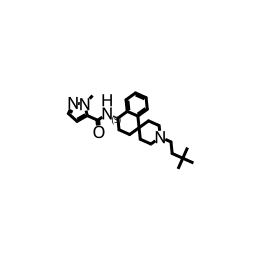 Cn1nccc1C(=O)N[C@H]1CCC2(CCN(CCC(C)(C)C)CC2)c2ccccc21